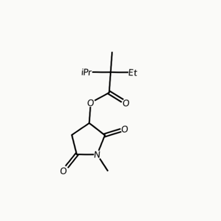 CCC(C)(C(=O)OC1CC(=O)N(C)C1=O)C(C)C